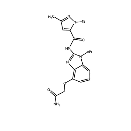 CCCn1c(NC(=O)c2cc(C)nn2CC)nc2c(OCC(N)=O)cccc21